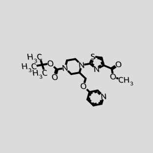 COC(=O)c1csc(N2CCN(C(=O)OC(C)(C)C)CC2COc2cccnc2)n1